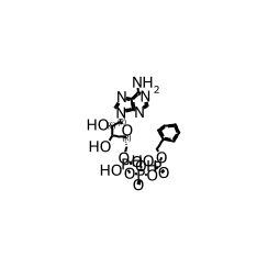 Nc1ncnc2c1ncn2[C@@H]1O[C@H](COP(=O)(O)OP(=O)(O)OP(=O)(O)OCc2ccccc2)C(O)[C@@H]1O